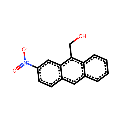 O=[N+]([O-])c1ccc2cc3ccccc3c(CO)c2c1